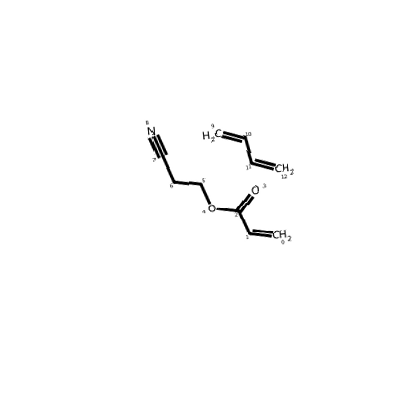 C=CC(=O)OCCC#N.C=CC=C